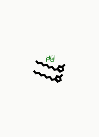 CCCCCCCCC1=CCC(C)=C1.CCCCCCCCC1=CCC(C)=C1.Cl.Cl